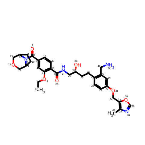 CCOc1cc(C(=O)N2C3CCC2COC3)ccc1C(=O)NC[C@@H](O)CCc1ccc(OCc2ocnc2C)cc1CN